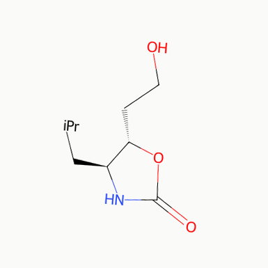 CC(C)C[C@@H]1NC(=O)O[C@H]1CCO